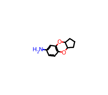 Nc1ccc2c(c1)OC1CCCC1O2